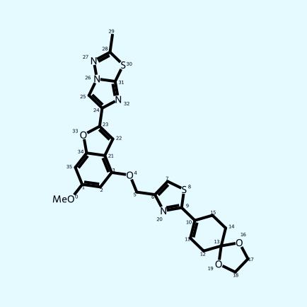 COc1cc(OCc2csc(C3=CCC4(CC3)OCCO4)n2)c2cc(-c3cn4nc(C)sc4n3)oc2c1